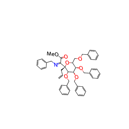 C=CC[C@@]1(/C(=N/Cc2ccccc2)C(=O)OC)OC(COCc2ccccc2)[C@@H](OCc2ccccc2)[C@@H](OCc2ccccc2)C1OCc1ccccc1